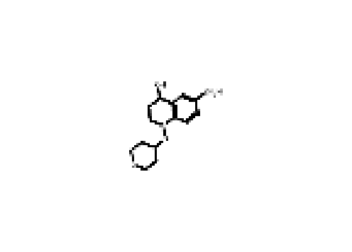 O=S(=O)(O)c1ccc2c(c1)C(O)CCN2OC1CCOCC1